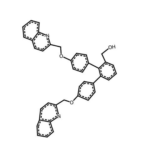 OCc1cccc(-c2ccc(OCc3ccc4ccccc4n3)cc2)c1-c1ccc(OCc2ccc3ccccc3n2)cc1